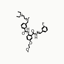 CCN(CC)CCN(C)Cc1cccc(C(=O)Nc2ccc(OCCOC)cc2C(=O)NN=Cc2cccc(F)c2)c1